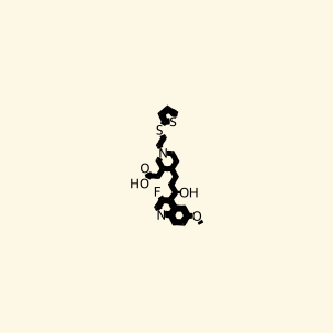 COc1ccc2ncc(F)c([C@H](O)CCC3CCN(CCSc4cccs4)CC3CC(=O)O)c2c1